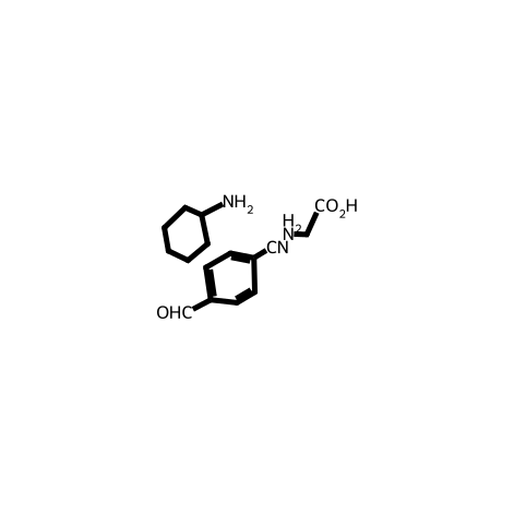 N#Cc1ccc(C=O)cc1.NC1CCCCC1.NCC(=O)O